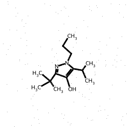 CCCn1nc(C(C)(C)C)c(O)c1C(C)C